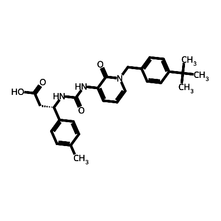 Cc1ccc([C@H](CC(=O)O)NC(=O)Nc2cccn(Cc3ccc(C(C)(C)C)cc3)c2=O)cc1